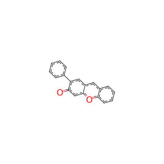 O=c1cc2oc3ccccc3cc-2cc1-c1ccccc1